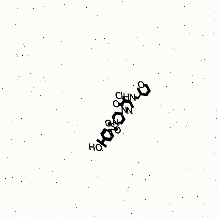 CC(C)(O)c1ccc(S(=O)(=O)N2CCC(n3ncc(NC[C@@H]4CCCOC4)c(Cl)c3=O)CC2)cc1